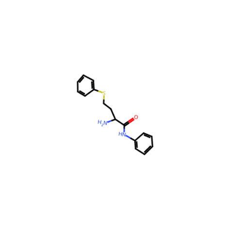 NC(CCSc1ccccc1)C(=O)Nc1ccccc1